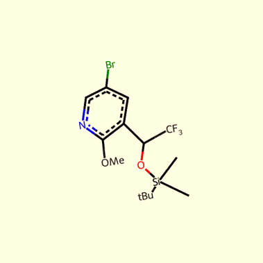 COc1ncc(Br)cc1C(O[Si](C)(C)C(C)(C)C)C(F)(F)F